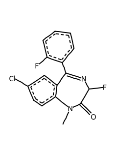 CN1C(=O)C(F)N=C(c2ccccc2F)c2cc(Cl)ccc21